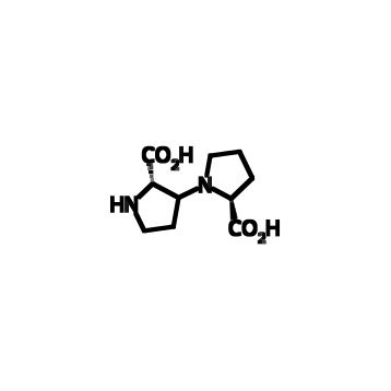 O=C(O)[C@H]1NCCC1N1CCC[C@H]1C(=O)O